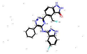 O=c1[nH][nH]c2ccc(-c3nnc(C4CCCCC4)c(Nc4n[nH]c5ccc(F)cc45)n3)c(CF)c12